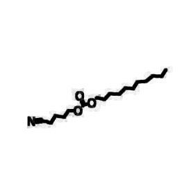 CCCCCCCCCCCOC(=O)OCCCCC#N